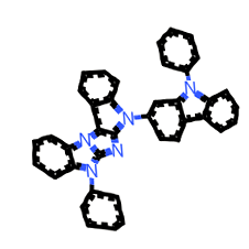 c1ccc(-n2c3ccccc3c3ccc(-n4c5ccccc5c5c4nc4n(-c6ccccc6)c6ccccc6n54)cc32)cc1